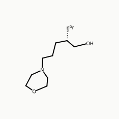 CCC[C@H](CO)CCCN1CCOCC1